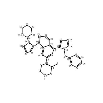 CC1COCCN1c1cc(-c2cncn2Cc2ccccc2)c2ccnc(-c3ccnn3C3CCCCO3)c2n1